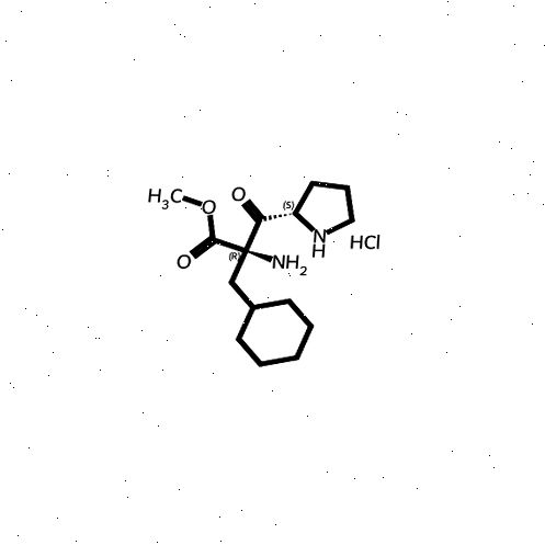 COC(=O)[C@@](N)(CC1CCCCC1)C(=O)[C@@H]1CCCN1.Cl